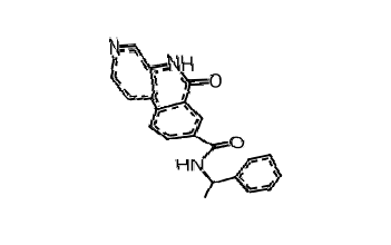 CC(NC(=O)c1ccc2c(c1)c(=O)[nH]c1cnccc12)c1ccccc1